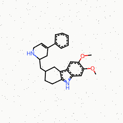 COc1cc2[nH]c3c(c2cc1OC)CC(CC1CC(c2ccccc2)=CCN1)CC3